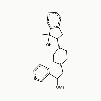 COC(CN1CCN(C2Cc3ccccc3C2(C)O)CC1)c1ccccc1